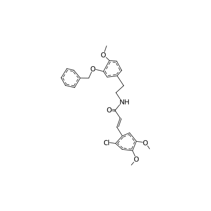 COc1cc(Cl)c(/C=C/C(=O)NCCc2ccc(OC)c(OCc3ccccc3)c2)cc1OC